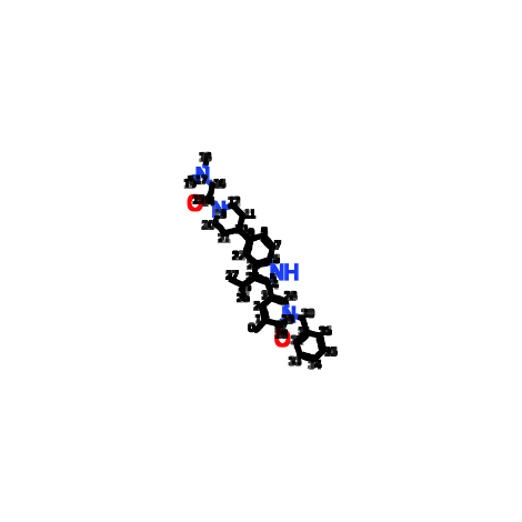 Cc1cc(-c2[nH]c3ccc(C4CCN(C(=O)CN(C)C)CC4)cc3c2C(C)C)cn(Cc2ccccc2)c1=O